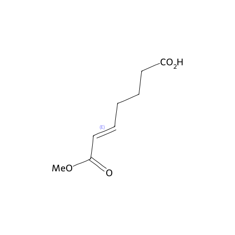 COC(=O)/C=C/CCCC(=O)O